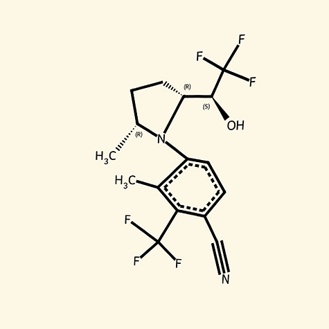 Cc1c(N2[C@H](C)CC[C@@H]2[C@H](O)C(F)(F)F)ccc(C#N)c1C(F)(F)F